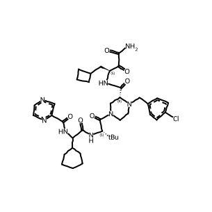 CC(C)(C)[C@H](NC(=O)C(NC(=O)c1cnccn1)C1CCCCC1)C(=O)N1CCN(Cc2ccc(Cl)cc2)[C@@H](C(=O)N[C@@H](CC2CCC2)C(=O)C(N)=O)C1